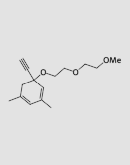 C#CC1(OCCOCCOC)C=C(C)C=C(C)C1